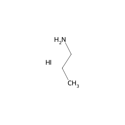 CCCN.I